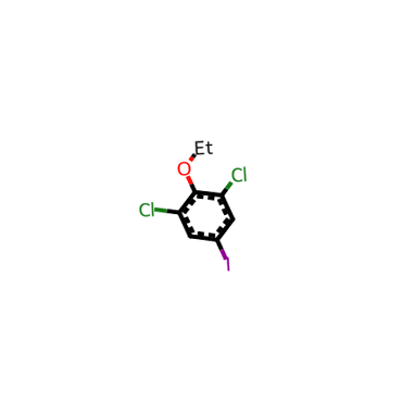 CCOc1c(Cl)cc(I)cc1Cl